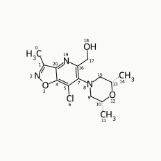 Cc1noc2c(Cl)c(N3C[C@@H](C)O[C@@H](C)C3)c(CO)nc12